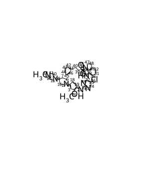 COc1cc(N2CCC(N3CCN(C)CC3)CC2)ccc1Nc1ncc(Cl)c(Nc2cccc3c2N(S(=O)(=O)CCc2ccccc2)CC3)n1